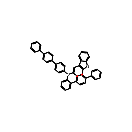 C1=C(N(c2ccc(-c3ccc(-c4ccccc4)cc3)cc2)c2ccccc2-c2ccc(-c3ccccc3)cc2)NCc2oc3ccccc3c21